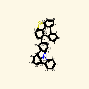 c1ccc2c(c1)c1cccc3sc4ccc(-c5ccc6c(c5)c5cccc7c8ccccc8n6c75)c2c4c31